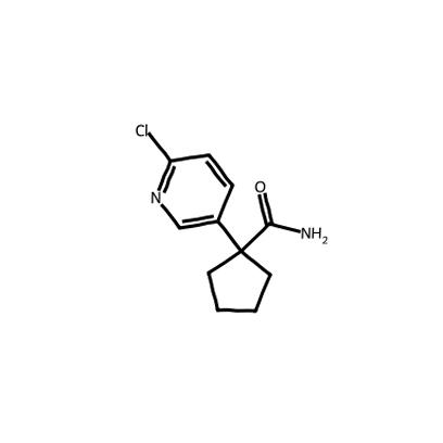 NC(=O)C1(c2ccc(Cl)nc2)CCCC1